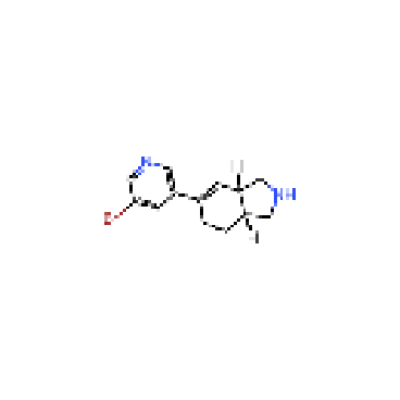 Brc1cncc(C2=C[C@@H]3CNC[C@@H]3CC2)c1